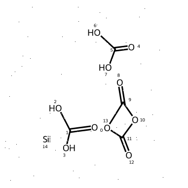 O=C(O)O.O=C(O)O.O=C1OC(=O)O1.[Si]